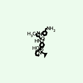 Cc1cc(C(=O)Nc2cc(C(O)(OCC3CC3)c3ccccn3)ccc2F)n(-c2cccc(CN)c2)n1